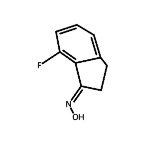 O/N=C1\CCc2cccc(F)c21